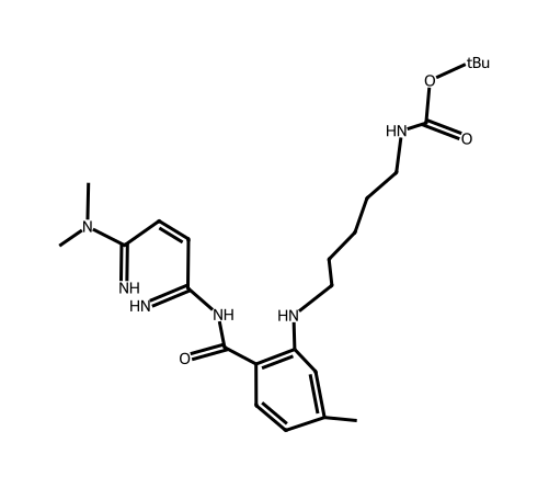 Cc1ccc(C(=O)NC(=N)/C=C\C(=N)N(C)C)c(NCCCCCNC(=O)OC(C)(C)C)c1